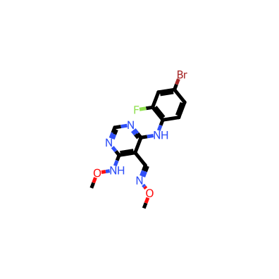 CON=Cc1c(NOC)ncnc1Nc1ccc(Br)cc1F